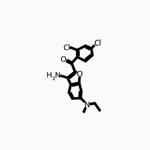 CCN(C)c1ccc2c(N)c(C(=O)c3ccc(Cl)cc3Cl)oc2c1